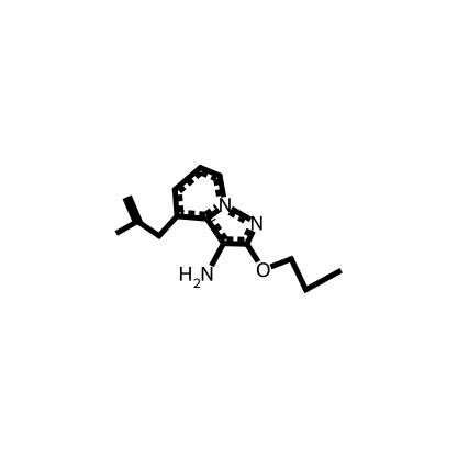 C=C(C)Cc1cccn2nc(OCCC)c(N)c12